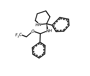 FC(F)(F)COC(N[C@]1(c2ccccc2)CCCCN1)c1ccccc1